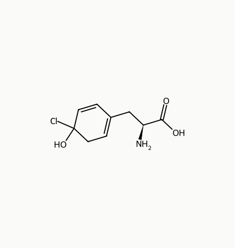 N[C@@H](CC1=CCC(O)(Cl)C=C1)C(=O)O